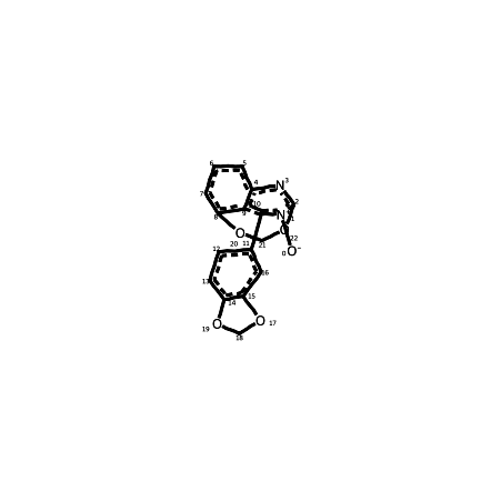 [O-][n+]1c2nc3cccc(c3c1-c1ccc3c(c1)OCO3)OCO2